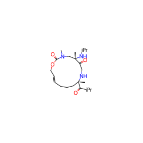 CC(C)N[C@@]1(C)CN(C)C(=O)OC/C=C/CCC[C@@](C)(C(=O)C(C)C)NCC1=O